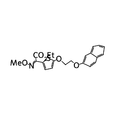 CCOC(=O)C(=NOC)c1ccc(OCCOc2ccc3ccccc3c2)s1